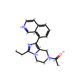 CCc1nc(-c2cccc3ccncc23)c2n1CCN(C(C)=O)C2